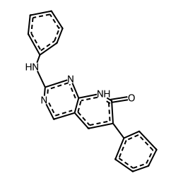 O=c1[nH]c2nc(Nc3ccccc3)ncc2cc1-c1ccccc1